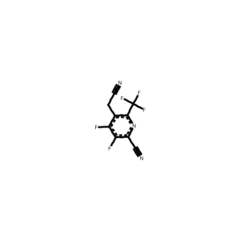 N#CCc1c(C(F)(F)F)nc(C#N)c(F)c1F